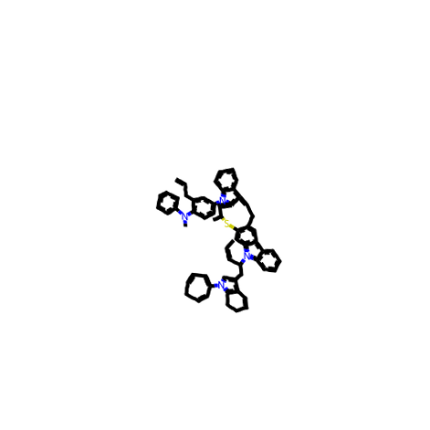 C=CCc1cc(-n2c3/c(c4ccccc42)=C\Cc2cc4c5ccccc5n(C(/C=C\C)Cc5cn(C6=CC=CCC=C6)c6c5C=CCC6)c4cc2SC(C)/C=3)ccc1N(C)c1ccccc1